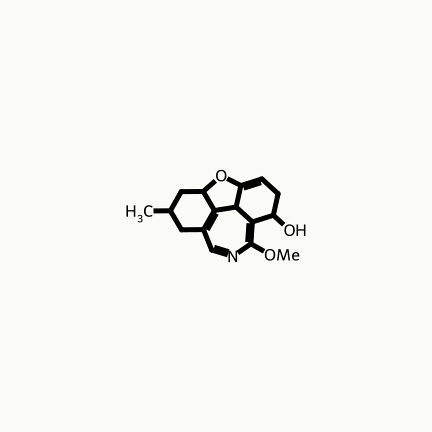 COC1=C2C(O)CC=C3OC4CC(C)CC(=C4C32)C=N1